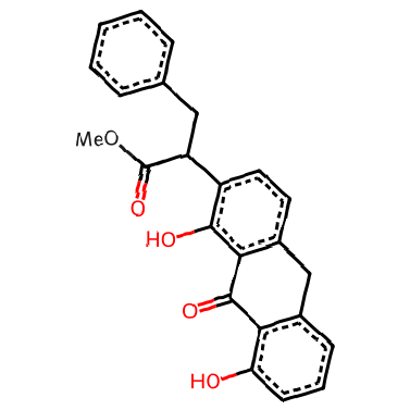 COC(=O)C(Cc1ccccc1)c1ccc2c(c1O)C(=O)c1c(O)cccc1C2